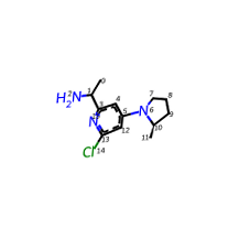 CC(N)c1cc(N2CCC[C@H]2C)cc(Cl)n1